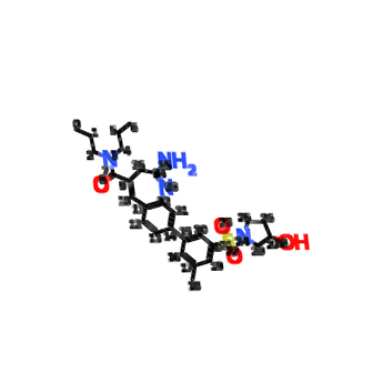 CCCN(CCC)C(=O)C1=Cc2ccc(-c3cc(C)cc(S(=O)(=O)N4CC[C@@H](O)C4)c3)cc2N=C(N)C1